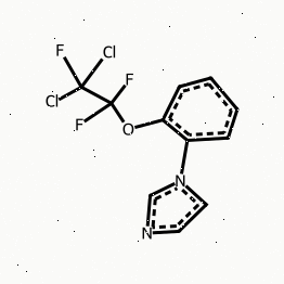 FC(Cl)(Cl)C(F)(F)Oc1ccccc1-n1ccnc1